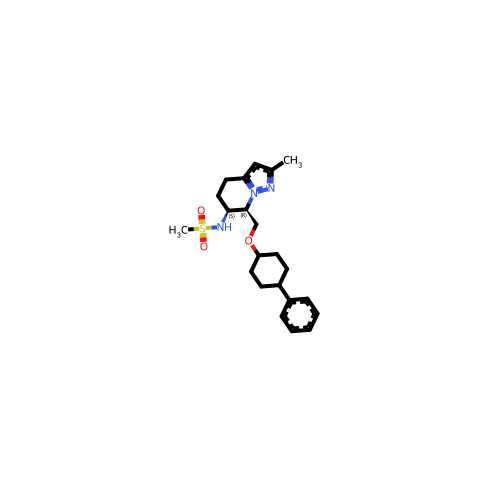 Cc1cc2n(n1)[C@@H](COC1CCC(c3ccccc3)CC1)[C@@H](NS(C)(=O)=O)CC2